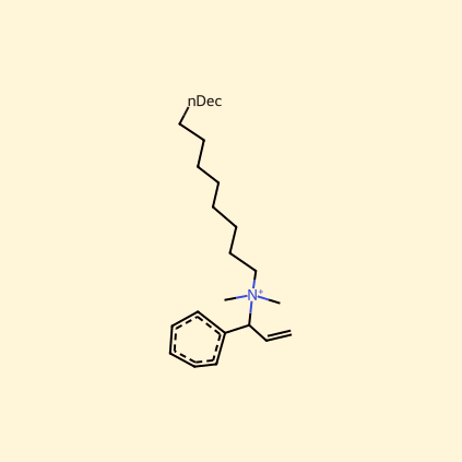 C=CC(c1ccccc1)[N+](C)(C)CCCCCCCCCCCCCCCCCC